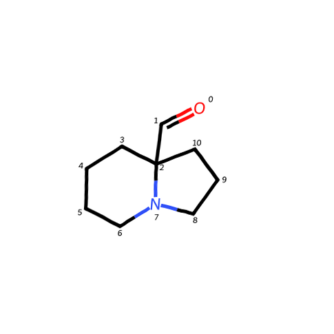 O=CC12CCCCN1CCC2